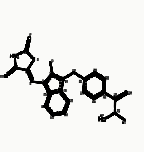 Cc1c(/C=C2\SC(=O)NC2=O)c2ccccc2n1Cc1ccc(C(=O)C(C)O)cc1